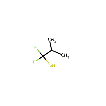 CC(C)C(F)(F)S